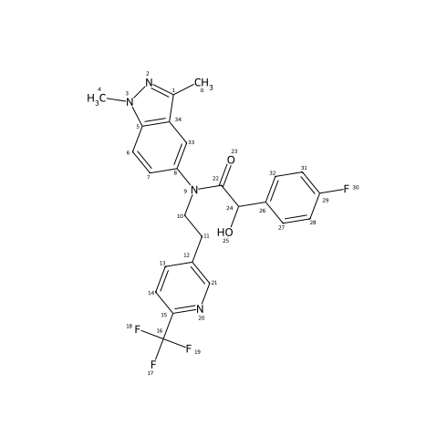 Cc1nn(C)c2ccc(N(CCc3ccc(C(F)(F)F)nc3)C(=O)C(O)c3ccc(F)cc3)cc12